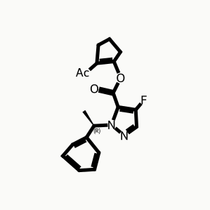 CC(=O)C1=C(OC(=O)c2c(F)cnn2[C@H](C)c2ccccc2)CCC1